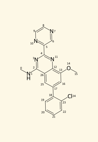 CNc1nc(-c2cnccn2)nc2c(OC)cc(-c3ccccc3Cl)cc12